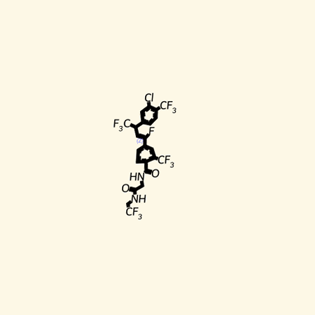 O=C(CNC(=O)c1ccc(/C(F)=C/C(c2ccc(C(F)(F)F)c(Cl)c2)C(F)(F)F)cc1C(F)(F)F)NCC(F)(F)F